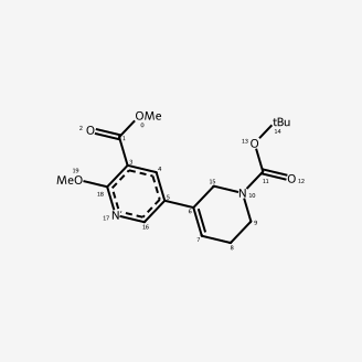 COC(=O)c1cc(C2=CCCN(C(=O)OC(C)(C)C)C2)cnc1OC